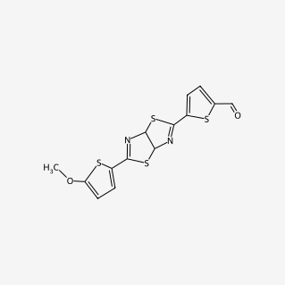 COc1ccc(C2=NC3SC(c4ccc(C=O)s4)=NC3S2)s1